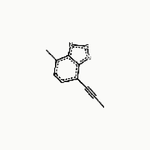 CC#Cc1ccc(C)c2nsnc12